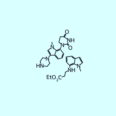 CCOC(=O)CCNc1cccc2ccn(C)c12.Cn1cc(N2CCNCC2)c2cccc(N3CCC(=O)NC3=O)c21